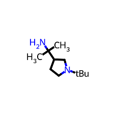 CC(C)(N)C1CCN(C(C)(C)C)C1